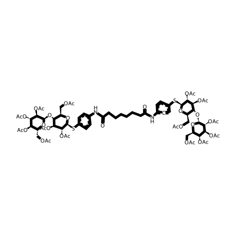 CC(=O)OC[C@H]1O[C@@H](Sc2ccc(NC(=O)CCCCCCC(=O)Nc3ccc(S[C@@H]4O[C@H](COC(C)=O)[C@@H](O[C@H]5O[C@H](COC(C)=O)[C@@H](OC(C)=O)[C@H](OC(C)=O)[C@H]5OC(C)=O)[C@H](OC(C)=O)[C@H]4OC(C)=O)cc3)cc2)[C@H](OC(C)=O)[C@@H](OC(C)=O)[C@@H]1O[C@H]1O[C@H](COC(C)=O)[C@@H](OC(C)=O)[C@H](OC(C)=O)[C@H]1OC(C)=O